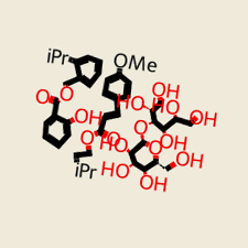 CC(C)c1ccccc1COC(=O)c1ccccc1O.COc1ccc(C=CC(=O)OCCC(C)C)cc1.OC[C@@H](O)[C@@H](O[C@H]1O[C@H](CO)[C@@H](O)[C@H](O)[C@H]1O)[C@H](O)[C@@H](O)CO